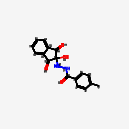 Cc1ccc(C(=O)NNC2(O)C(=O)c3ccccc3C2=O)cc1